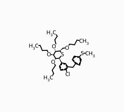 CCCCOC[C@H]1S[C@@H](c2ccc(Cl)c(Cc3ccc(SC)cc3)c2)[C@H](OCCCC)[C@@H](OCCCC)[C@@H]1OCCCC